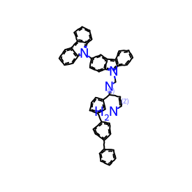 N/C=C\C(=N/Cn1c2ccccc2c2cc(-n3c4ccccc4c4ccccc43)ccc21)c1cccc(-c2ccc(-c3ccccc3)cc2)c1